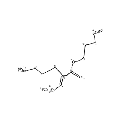 CCCCCCCCCCCCCOC(=O)C(=CC(=O)O)CCCCCCCCCCCCC